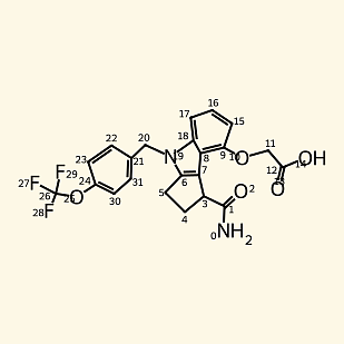 NC(=O)C1CCc2c1c1c(OCC(=O)O)cccc1n2Cc1ccc(OC(F)(F)F)cc1